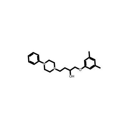 Cc1cc(C)cc(OCC(O)CCN2CCN(c3ccccc3)CC2)c1